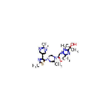 Cc1nc(C(C)(C)O)nn1CC(=O)N1CCN(c2sc(C(F)(F)F)nc2-c2cnc(C(F)(F)F)nc2)C[C@H]1C